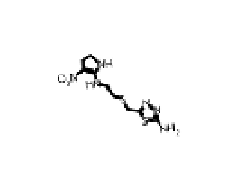 Nc1nnc(CSCCNC2=C([N+](=O)[O-])CCN2)s1